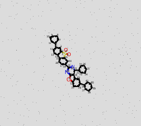 O=S1(=O)c2cc(-c3ccccc3)ccc2-c2ccc(-c3nc(-c4ccccc4)c4c(n3)oc3ccc(-c5ccccc5)cc34)cc21